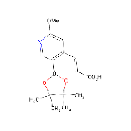 COc1cc(C=CC(=O)O)c(B2OC(C)(C)C(C)(C)O2)cn1